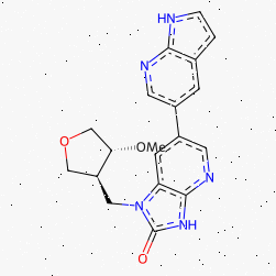 CO[C@H]1COC[C@@H]1Cn1c(=O)[nH]c2ncc(-c3cnc4[nH]ccc4c3)cc21